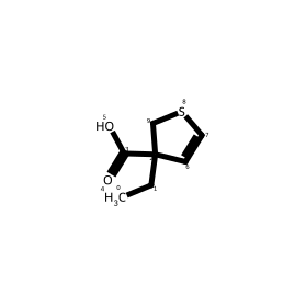 CCC1(C(=O)O)C=CSC1